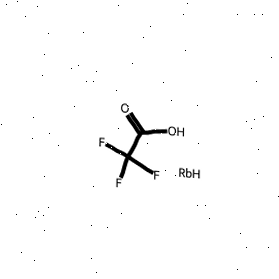 O=C(O)C(F)(F)F.[RbH]